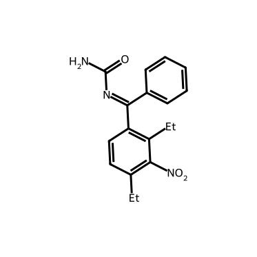 CCc1ccc(C(=NC(N)=O)c2ccccc2)c(CC)c1[N+](=O)[O-]